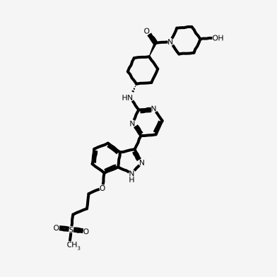 CS(=O)(=O)CCCOc1cccc2c(-c3ccnc(N[C@H]4CC[C@H](C(=O)N5CCC(O)CC5)CC4)n3)n[nH]c12